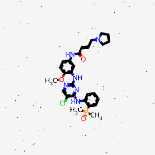 COc1ccc(NC(=O)C=CCN2CCCC2)cc1Nc1ncc(Cl)c(Nc2ccccc2P(C)(C)=O)n1